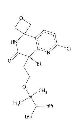 CCCC(C(C)(C)C)[Si](C)(C)OCCC1(CC)C(=O)NC2(COC2)c2ccc(Cl)nc21